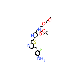 COCCOCCN(Cc1ccc(-c2cc3nccc(Cc4ccc(N)cc4F)c3s2)nc1)C(=O)OC(C)(C)C